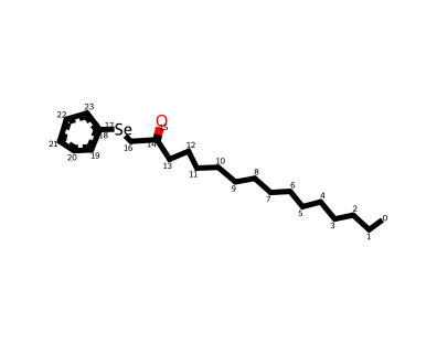 CCCCCCCCCCCCCCC(=O)C[Se]c1ccccc1